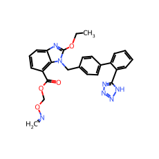 C=NOCOC(=O)c1cccc2nc(OCC)n(Cc3ccc(-c4ccccc4-c4nnn[nH]4)cc3)c12